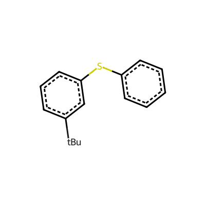 CC(C)(C)c1cccc(Sc2ccccc2)c1